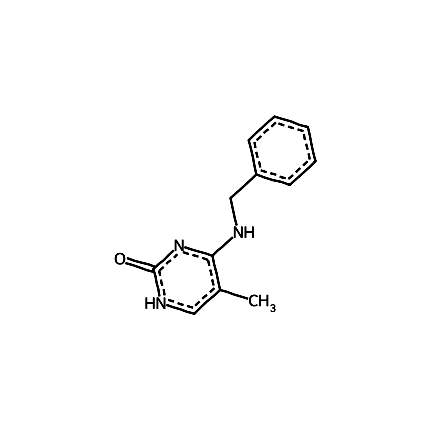 Cc1c[nH]c(=O)nc1NCc1ccccc1